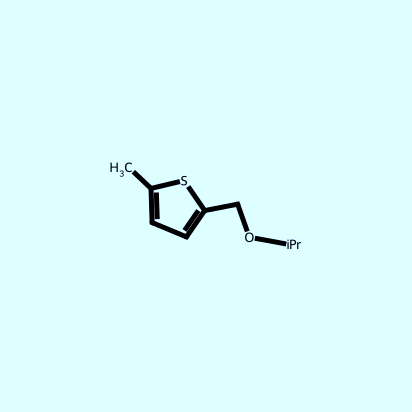 Cc1ccc(COC(C)C)s1